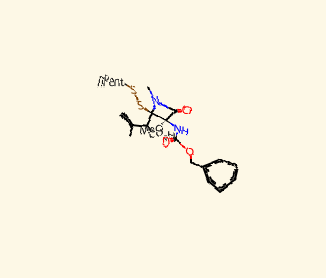 C=C(C)[C@H](C(=O)O)[C@]1(SSCCCCC)N(C)C(=O)[C@]1(NC(=O)OCc1ccccc1)OC